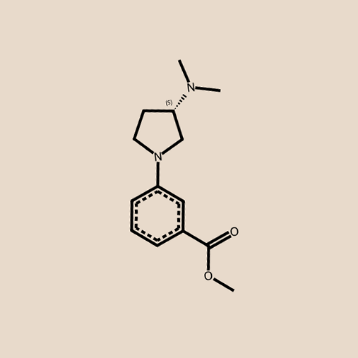 COC(=O)c1cccc(N2CC[C@H](N(C)C)C2)c1